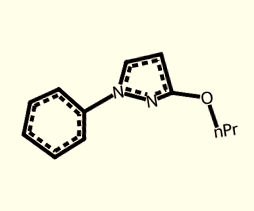 CCCOc1ccn(-c2ccccc2)n1